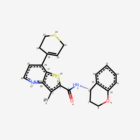 CC(C)c1c(C(=O)N[C@H]2CCOc3ccccc32)sc2c(C3=CCSCC3)ccnc12